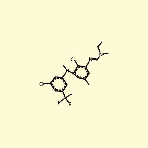 CCN(C)C=Nc1cc(C)cc(N(C)c2cc(Cl)cc(C(F)(F)F)c2)c1Cl